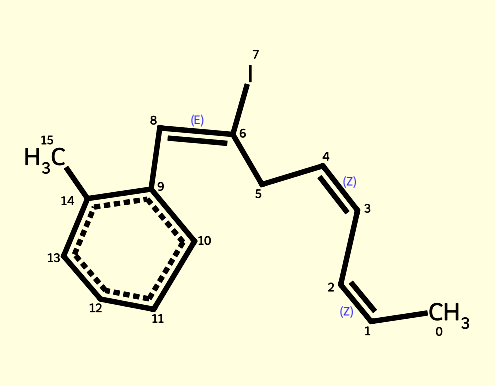 C/C=C\C=C/C/C(I)=C\c1ccccc1C